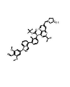 COc1cc(-n2ncc3c(-c4cccc(N(C(=O)OC(C)(C)C)c5nc(C(F)F)nc6cc(CN7CC[C@@H](O)C7)cnc56)c4C)cccc32)cc(OC)c1C=O